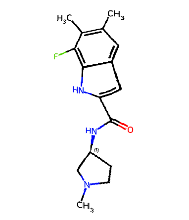 Cc1cc2cc(C(=O)N[C@H]3CCN(C)C3)[nH]c2c(F)c1C